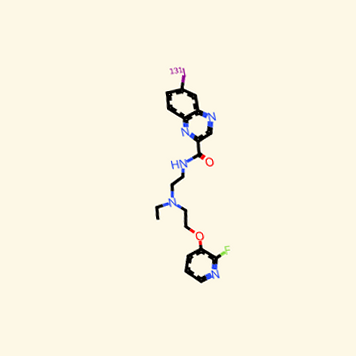 CCN(CCNC(=O)c1cnc2cc([131I])ccc2n1)CCOc1cccnc1F